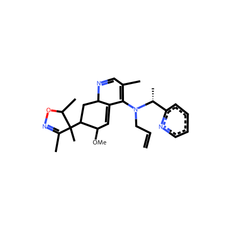 C=CCN(C1=C(C)C=NC2CC(C3(C)C(C)=NOC3C)C(OC)C=C12)[C@H](C)c1ccccn1